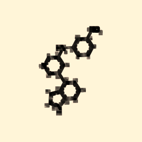 O=[N+]([O-])c1cccc(Nc2cncc(-c3cccc4[nH]ccc34)c2)c1